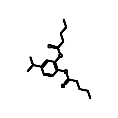 CCCCC(=O)Oc1ccc(C(C)C)cc1OC(=O)CCCC